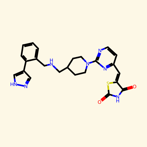 O=C1NC(=O)C(=Cc2ccnc(N3CCC(CNCc4ccccc4-c4cn[nH]c4)CC3)n2)S1